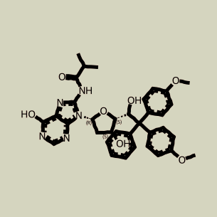 COc1ccc(C(c2ccccc2)(c2ccc(OC)cc2)C(O)[C@H]2O[C@@H](n3c(NC(=O)C(C)C)nc4c(O)ncnc43)C[C@@H]2O)cc1